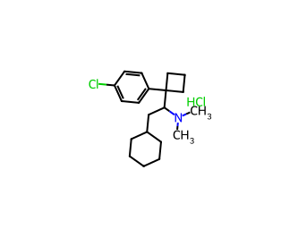 CN(C)C(CC1CCCCC1)C1(c2ccc(Cl)cc2)CCC1.Cl